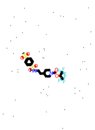 CS(=O)(=O)c1ccc(S(=O)(=O)NCCC2CCN(C(=O)OC(C(F)(F)F)C(F)(F)F)CC2)cc1